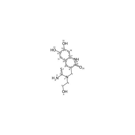 NC(=S)N(CCO)Cc1cc2cc(O)c(O)cc2[nH]c1=O